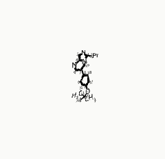 CC(C)c1ncc2ncc(-c3ccc(OC(C)(C)I)cc3)cn12